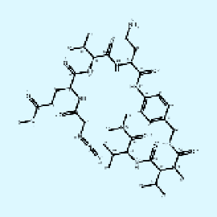 COC(=O)CC[C@H](NC(=O)CN=[N+]=[N-])C(=O)N[C@H](C(=O)N[C@@H](CCN)C(=O)Nc1ccc(COC(=O)N(C)[C@H](C(=O)N[C@H](C(=O)N(C)C)C(C)C)C(C)C)cc1)C(C)C